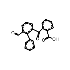 O=[C]c1cccc(C(=O)c2ccccc2C(=O)O)c1-c1ccccc1